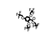 O=C(OCC(F)(F)F)c1c(OCC(F)(F)F)cc(OCC(F)(F)F)cc1OCC(F)(F)F